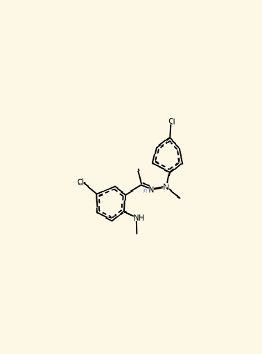 CNc1ccc(Cl)cc1/C(C)=N/N(C)c1ccc(Cl)cc1